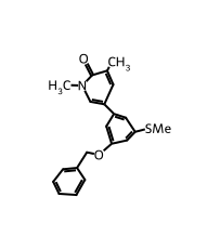 CSc1cc(OCc2ccccc2)cc(-c2cc(C)c(=O)n(C)c2)c1